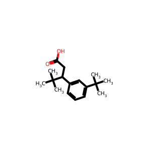 CC(C)(C)c1cccc(C(CC(=O)O)C(C)(C)C)c1